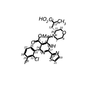 COC(=O)C1=C(CN2CCOC[C@H]2CC(C)C(=O)O)NC(c2nccs2)=N[C@H]1c1cccc(F)c1Cl